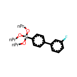 CCCO[Si](OCCC)(OCCC)c1ccc(-c2cccc(F)c2)cc1